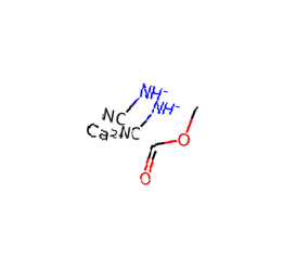 COC=O.N#C[NH-].N#C[NH-].[Ca+2]